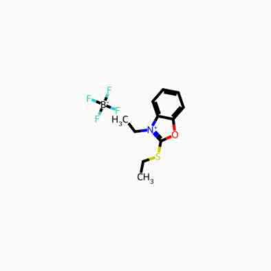 CCSc1oc2ccccc2[n+]1CC.F[B-](F)(F)F